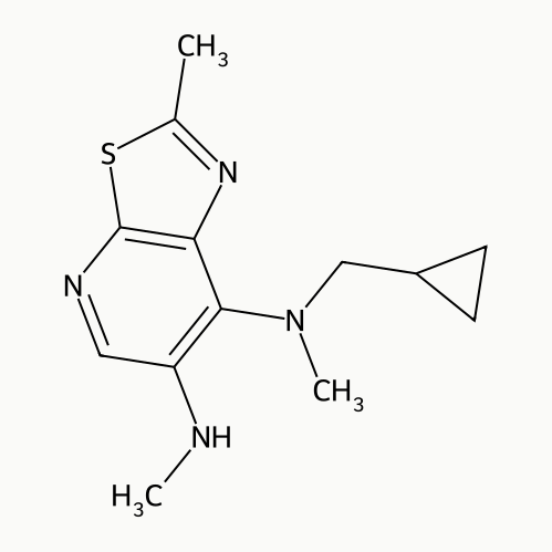 CNc1cnc2sc(C)nc2c1N(C)CC1CC1